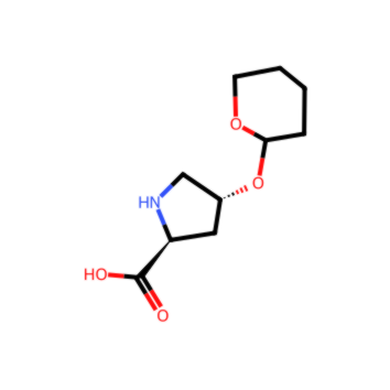 O=C(O)[C@@H]1C[C@@H](OC2CCCCO2)CN1